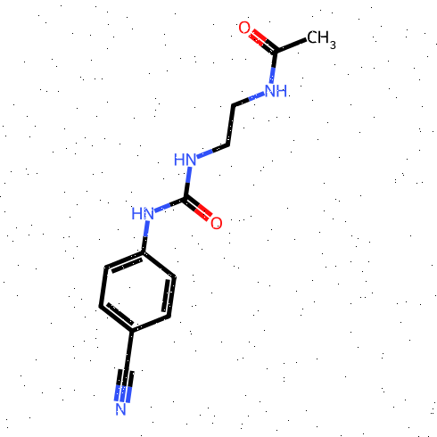 CC(=O)NCCNC(=O)Nc1ccc(C#N)cc1